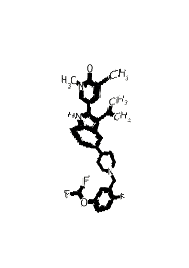 Cc1cc(-c2[nH]c3ccc(C4CCN(Cc5cc(OC(F)F)ccc5F)CC4)cc3c2C(C)C)cn(C)c1=O